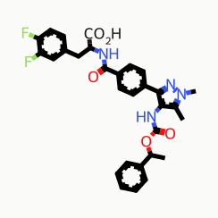 Cc1c(NC(=O)OC(C)c2ccccc2)c(-c2ccc(C(=O)NC(Cc3ccc(F)c(F)c3)C(=O)O)cc2)nn1C